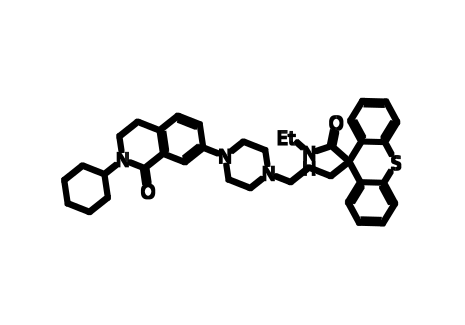 CCNC(=O)C1(CCCN2CCN(c3ccc4c(c3)C(=O)N(C3CCCCC3)CC4)CC2)c2ccccc2Sc2ccccc21